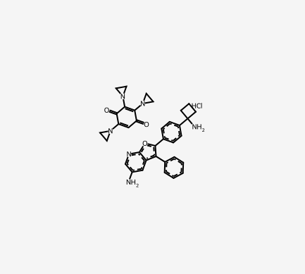 Cl.Nc1cnc2oc(-c3ccc(C4(N)CCC4)cc3)c(-c3ccccc3)c2c1.O=C1C=C(N2CC2)C(=O)C(N2CC2)=C1N1CC1